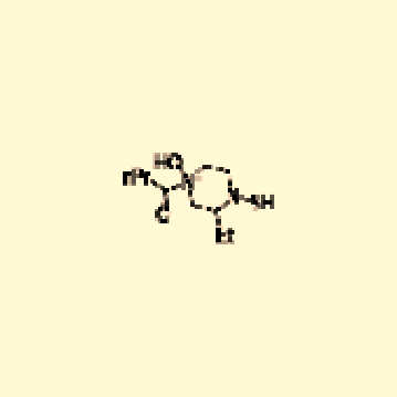 CCCC(=O)[N+]1(O)CCN(S)C(CC)C1